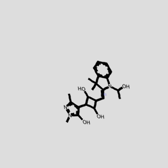 Cc1nn(C)c(O)c1C1C(O)C(/C=C2/N(C(C)O)c3ccccc3C2(C)C)C1O